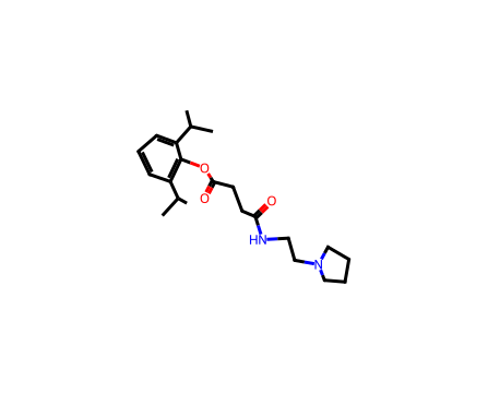 CC(C)c1cccc(C(C)C)c1OC(=O)CCC(=O)NCCN1CCCC1